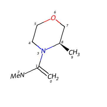 C=C(NC)N1CCOC[C@H]1C